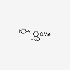 COc1ccc(CSc2ccncc2)c2c1OCC2C